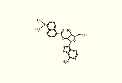 CN(C)c1cccc2c(C(=O)OC3C(O)[C@@H](CO)O[C@H]3n3cnc4c(N)ncnc43)cccc12